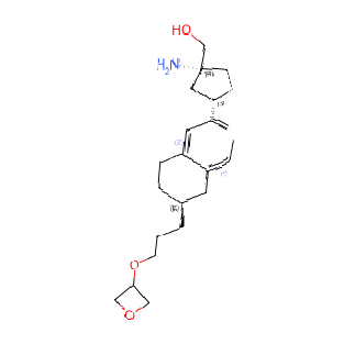 C=C(/C=C1/CC[C@H](CCCOC2COC2)C/C1=C/C)[C@H]1CC[C@](N)(CO)C1